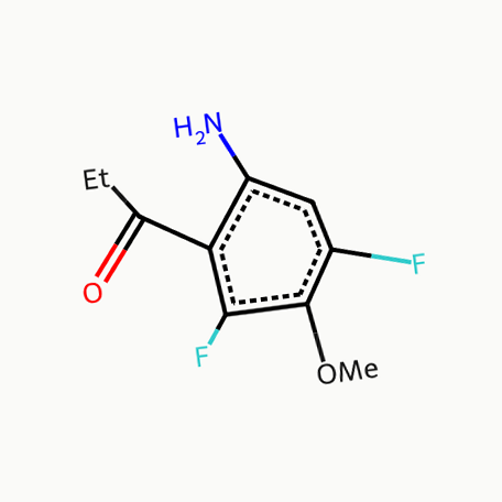 CCC(=O)c1c(N)cc(F)c(OC)c1F